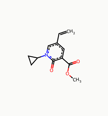 C=Cc1cc(C(=O)OC)c(=O)n(C2CC2)c1